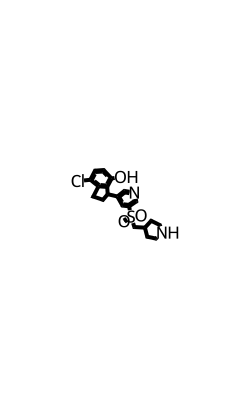 O=S(=O)(CC1CCNCC1)c1cncc(C2CCc3c(Cl)ccc(O)c32)c1